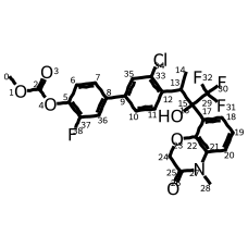 COC(=O)Oc1ccc(-c2ccc(C(C)C(O)(c3cccc4c3OCC(=O)N4C)C(F)(F)F)c(Cl)c2)cc1F